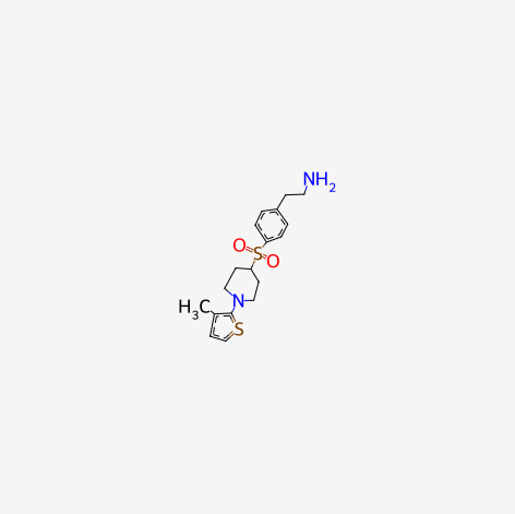 Cc1ccsc1N1CCC(S(=O)(=O)c2ccc(CCN)cc2)CC1